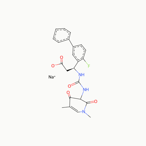 CC1=CN(C)C(=O)C(NC(=O)N[C@@H](CC(=O)[O-])c2cc(-c3ccccc3)ccc2F)C1=O.[Na+]